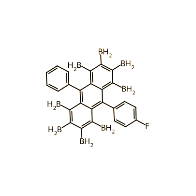 Bc1c(B)c(B)c2c(-c3ccc(F)cc3)c3c(B)c(B)c(B)c(B)c3c(-c3ccccc3)c2c1B